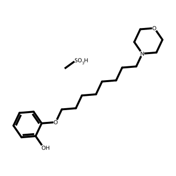 CS(=O)(=O)O.Oc1ccccc1OCCCCCCCCN1CCOCC1